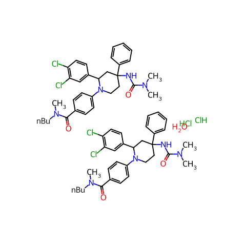 CCCCN(C)C(=O)c1ccc(N2CCC(NC(=O)N(C)C)(c3ccccc3)CC2c2ccc(Cl)c(Cl)c2)cc1.CCCCN(C)C(=O)c1ccc(N2CCC(NC(=O)N(C)C)(c3ccccc3)CC2c2ccc(Cl)c(Cl)c2)cc1.Cl.Cl.O